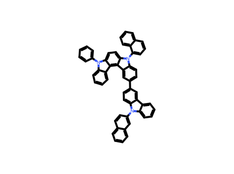 c1ccc(-n2c3ccccc3c3c4c5cc(-c6ccc7c(c6)c6ccccc6n7-c6ccc7ccccc7c6)ccc5n(-c5cccc6ccccc56)c4ccc32)cc1